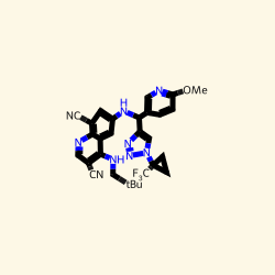 COc1ccc(C(Nc2cc(C#N)c3ncc(C#N)c(NCC(C)(C)C)c3c2)c2cn(C3(C(F)(F)F)CC3)nn2)cn1